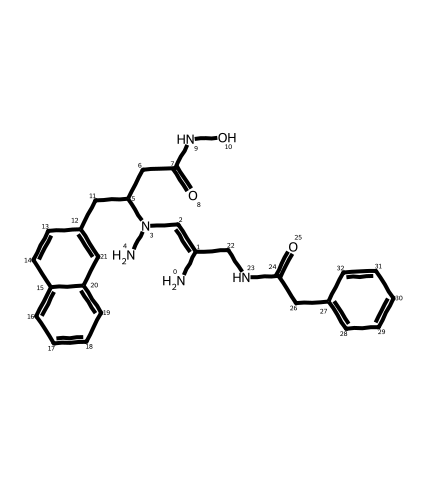 N/C(=C\N(N)C(CC(=O)NO)Cc1ccc2ccccc2c1)CNC(=O)Cc1ccccc1